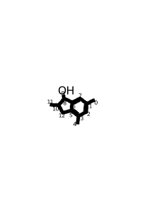 Cc1cc(C)c2c(c1)C(O)C(C)C2